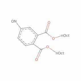 CCCCCCCCOC(=O)c1ccc(N=O)cc1C(=O)OCCCCCCCC